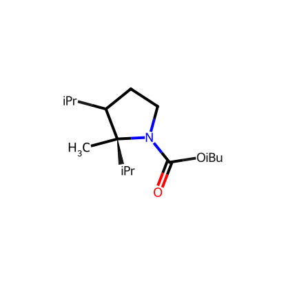 CC(C)COC(=O)N1CCC(C(C)C)[C@]1(C)C(C)C